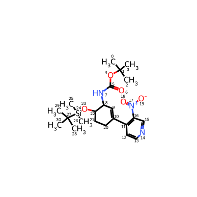 CC(C)(C)OC(=O)NC1C=C(c2ccncc2[N+](=O)[O-])CCC1O[Si](C)(C)C(C)(C)C